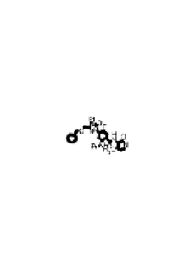 CCn1c(COCc2ccccc2)nn(-c2cc(NC(C)C)c(C(=O)Nc3c(C)ccnc3Cl)cc2F)c1=O